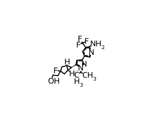 CC(C)n1nc(-c2cnc(N)c(C(F)(F)F)c2)cc1[C@H]1[C@@H]2CC(F)(CCO)C[C@@H]21